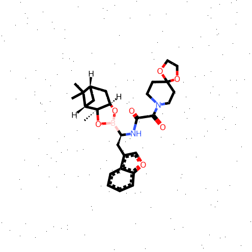 CC1(C)[C@@H]2C[C@H]3OB([C@H](Cc4coc5ccccc45)NC(=O)C(=O)N4CCC5(CC4)OCCO5)O[C@@]3(C)[C@H]1C2